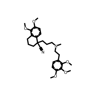 COc1ccc2c(c1OC)CCCC2(C#N)CCCN(C)CCc1ccc(OC)c(OC)c1OC